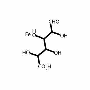 O=CC(O)C(O)C(O)C(O)C(=O)O.[Fe]